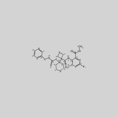 COC(=O)c1cc(F)cc(C)c1NC(=O)C1([N+]2(CC(=O)OCc3ccccc3)CCCCC2)CCC1